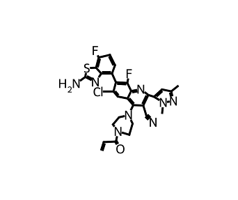 C=CC(=O)N1CCN(c2c(C#N)c(-c3cc(C)nn3C)nc3c(F)c(-c4ccc(F)c5sc(N)nc45)c(Cl)cc23)CC1